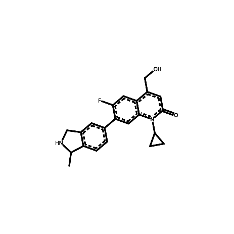 CC1NCc2cc(-c3cc4c(cc3F)c(CO)cc(=O)n4C3CC3)ccc21